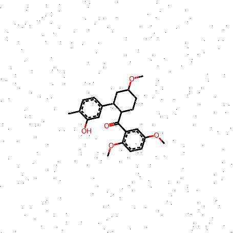 COc1ccc(OC)c(C(=O)C2CCC(OC)CC2c2ccc(C)c(O)c2)c1